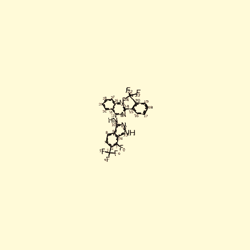 Fc1c(C(F)(F)F)ccc2c(Nc3nc(-c4ccccc4C(F)(F)F)nc4ccccc34)n[nH]c12